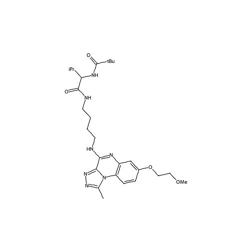 COCCOc1ccc2c(c1)nc(NCCCCNC(=O)C(NC(=O)C(C)(C)C)C(C)C)c1nnc(C)n12